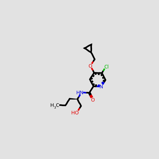 CCC[C@H](CO)NC(=O)c1cc(OCC2CC2)c(Cl)cn1